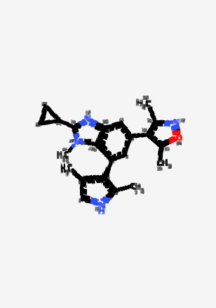 Cc1c[nH]c(C)c1-c1cc(-c2c(C)noc2C)cc2nc(C3CC3)n(C)c12